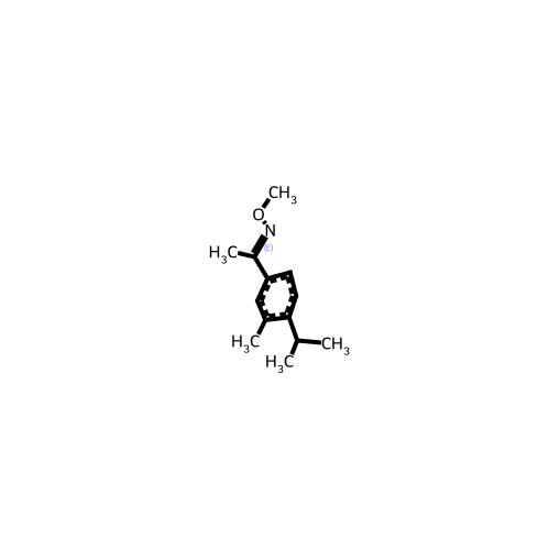 CO/N=C(\C)c1ccc(C(C)C)c(C)c1